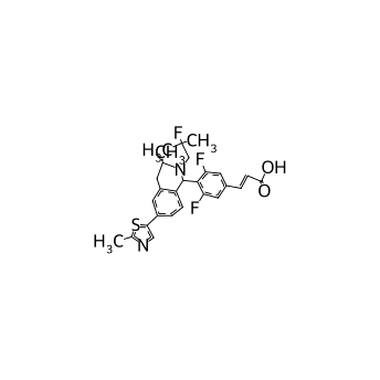 Cc1ncc(-c2ccc3c(c2)C[C@@H](C)N(CC(C)(C)F)C3c2c(F)cc(/C=C/C(=O)O)cc2F)s1